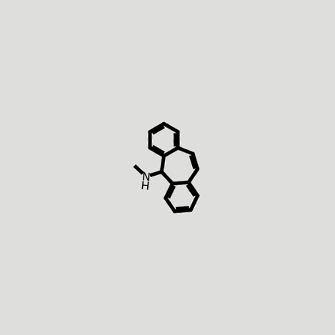 CNC1c2ccccc2C=Cc2ccccc21